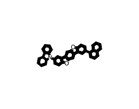 C1=CC2c3ccccc3N(c3ccc4oc5cc6c(cc5c4c3)oc3ccc(-c4cccc5ccccc45)cc36)C2C=C1